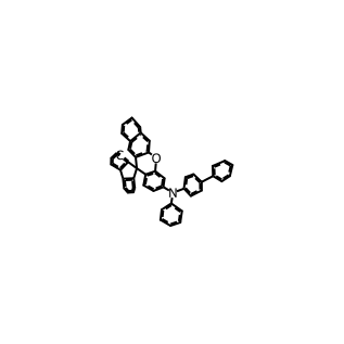 c1ccc(-c2ccc(N(c3ccccc3)c3ccc4c(c3)Oc3cc5ccccc5cc3C43c4ccccc4-c4ccccc43)cc2)cc1